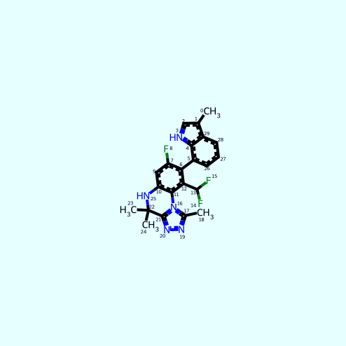 Cc1c[nH]c2c(-c3c(F)cc4c(c3C(F)F)-n3c(C)nnc3C(C)(C)N4)cccc12